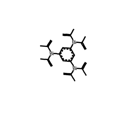 C=[C](C)[Bi]([C](=C)C)[c]1c[c]([Bi]([C](=C)C)[C](=C)C)c[c]([Bi]([C](=C)C)[C](=C)C)c1